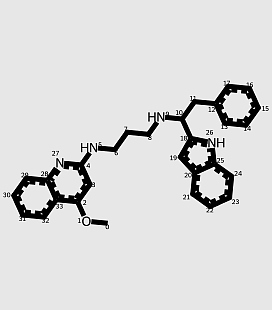 COc1cc(NCCCNC(Cc2ccccc2)c2cc3ccccc3[nH]2)nc2ccccc12